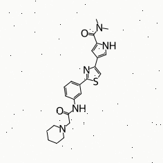 CN(C)C(=O)c1cc(-c2csc(-c3cccc(NC(=O)CN4CCCCC4)c3)n2)c[nH]1